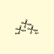 O=P([O-])([O-])O.O=P([O-])([O-])O.O=P([O-])([O-])O.[Pr+3].[Pr+3]